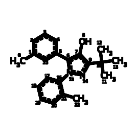 Cc1cccc(-c2c(O)c(C(C)(C)C)nn2-c2ccccc2C)c1